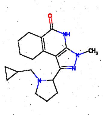 Cn1nc(C2CCCN2CC2CC2)c2c3c(c(=O)[nH]c21)CCCC3